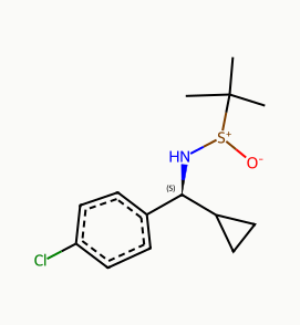 CC(C)(C)[S+]([O-])N[C@H](c1ccc(Cl)cc1)C1CC1